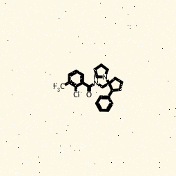 O=C(NCC1(N2CCCC2)CCCC1c1ccccc1)c1cccc(C(F)(F)F)c1Cl